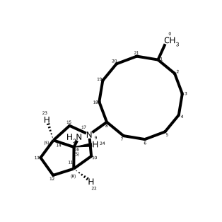 CC1CCCCCCC(N2C[C@H]3CC[C@@H](C2)[C@@H]3N)CCCC1